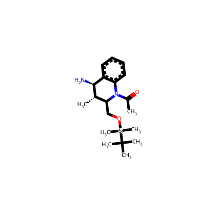 CC(=O)N1c2ccccc2[C@H](N)[C@@H](C)C1CO[Si](C)(C)C(C)(C)C